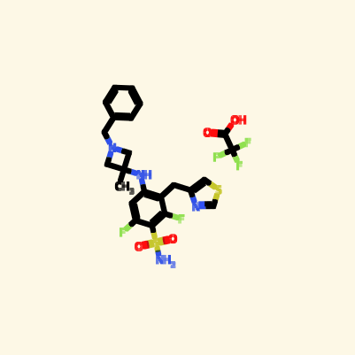 CC1(Nc2cc(F)c(S(N)(=O)=O)c(F)c2Cc2cscn2)CN(Cc2ccccc2)C1.O=C(O)C(F)(F)F